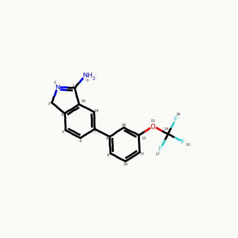 NC1=NCc2ccc(-c3cccc(OC(F)(F)F)c3)cc21